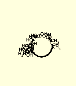 C[C@H]1C[C@H](O)[C@@H](C)/C=C/C=C/C=C/C=C/C=C/C=C/C=C/C(O[C@@H]2O[C@H](C)[C@@H](O)[C@H](N)[C@@H]2O)C[C@@H]2OC(O)(C[C@@H](O)CC(O)C(O)CCC(O)CC(O)CC(=O)O1)C[C@H](O)C2C(=O)O